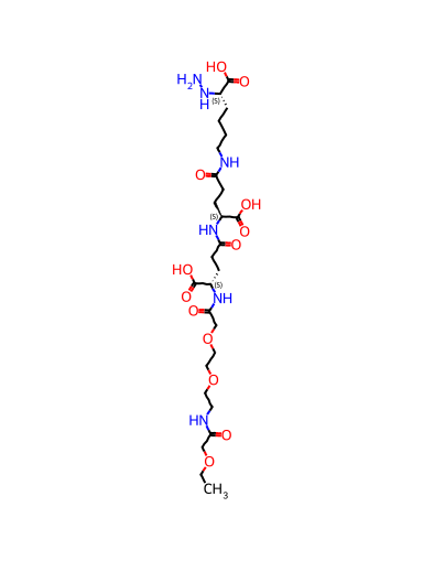 CCOCC(=O)NCCOCCOCC(=O)N[C@@H](CCC(=O)N[C@@H](CCC(=O)NCCCC[C@H](NN)C(=O)O)C(=O)O)C(=O)O